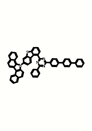 c1ccc(-c2ccc(-c3ccc(-c4nc(-c5ccccc5)nc(-c5cccc6sc7cc(-n8c9ccc%10ccccc%10c9c9ccc%10ccccc%10c98)ccc7c56)n4)cc3)cc2)cc1